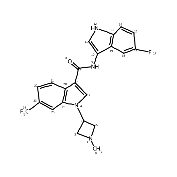 CN1CC(n2cc(C(=O)Nc3c[nH]c4ccc(F)cc34)c3ccc(C(F)(F)F)cc32)C1